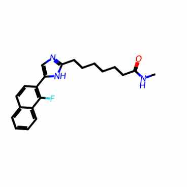 CNC(=O)CCCCCCc1ncc(-c2ccc3ccccc3c2F)[nH]1